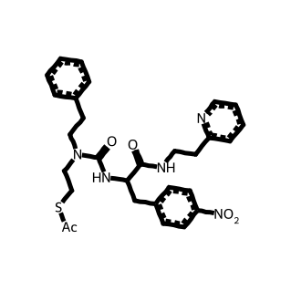 CC(=O)SCCN(CCc1ccccc1)C(=O)NC(Cc1ccc([N+](=O)[O-])cc1)C(=O)NCCc1ccccn1